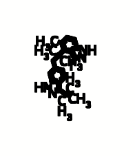 Cc1ccc2[nH]nc(I)c2c1C(C)(C)Cc1ccc2c(C(C)(C)C)n[nH]c2c1